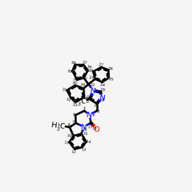 Cc1c(CN2CCC3C(C)c4ccccc4N3C2=O)ncn1C(c1ccccc1)(c1ccccc1)c1ccccc1